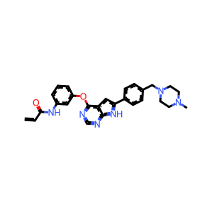 C=CC(=O)Nc1cccc(Oc2ncnc3[nH]c(-c4ccc(CN5CCN(C)CC5)cc4)cc23)c1